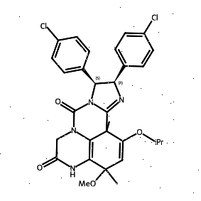 COC1(C)C=C(OC(C)C)C2(C)C3=N[C@H](c4ccc(Cl)cc4)[C@H](c4ccc(Cl)cc4)N3C(=O)N3CC(=O)NC1=C32